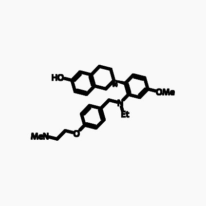 CCN(Cc1ccc(OCCNC)cc1)c1cc(OC)ccc1[C@@H]1CCc2cc(O)ccc2C1